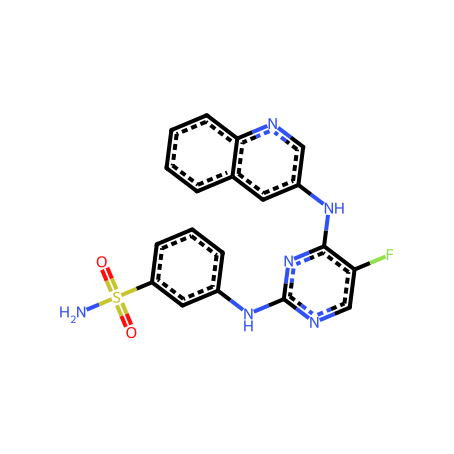 NS(=O)(=O)c1cccc(Nc2ncc(F)c(Nc3cnc4ccccc4c3)n2)c1